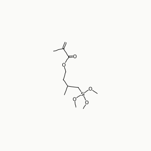 C=C(C)C(=O)OCCC(C)C[Si](OC)(OC)OC